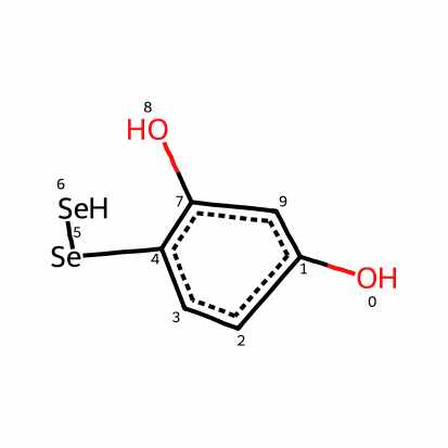 Oc1ccc([Se][SeH])c(O)c1